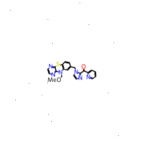 COCN1c2cc(Cn3ccnc3C(=O)c3ccccn3)ccc2Sc2nccnc21